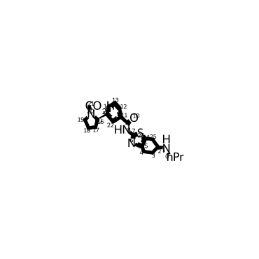 CCCNC1CCc2nc(NC(=O)c3cccc([C@H]4CCCN4C(=O)O)c3)sc2C1